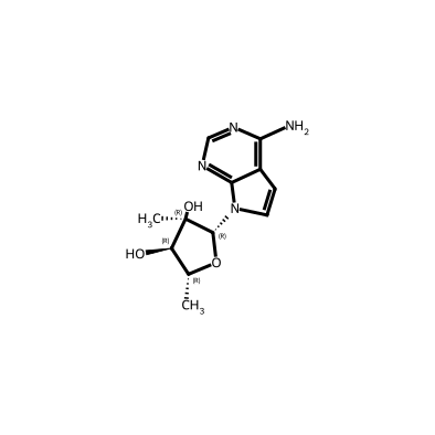 C[C@H]1O[C@@H](n2ccc3c(N)ncnc32)[C@](C)(O)[C@@H]1O